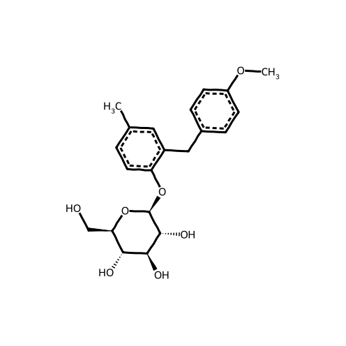 COc1ccc(Cc2cc(C)ccc2O[C@@H]2O[C@H](CO)[C@@H](O)[C@H](O)[C@H]2O)cc1